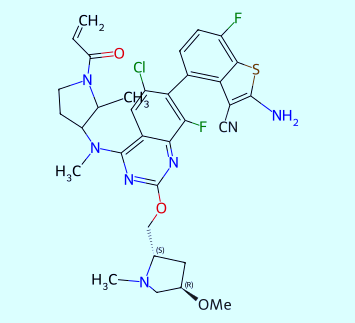 C=CC(=O)N1CCC(N(C)c2nc(OC[C@@H]3C[C@@H](OC)CN3C)nc3c(F)c(-c4ccc(F)c5sc(N)c(C#N)c45)c(Cl)cc23)C1C